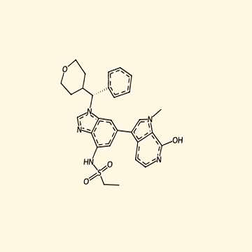 CCS(=O)(=O)Nc1cc(-c2cn(C)c3c(O)nccc23)cc2c1ncn2[C@@H](c1ccccc1)C1CCOCC1